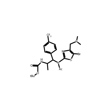 CC(=O)N(c1nc(CN(C)C)c(Br)s1)C(c1ccc(C(F)(F)F)cc1)C(C)NC(=O)OC(C)(C)C